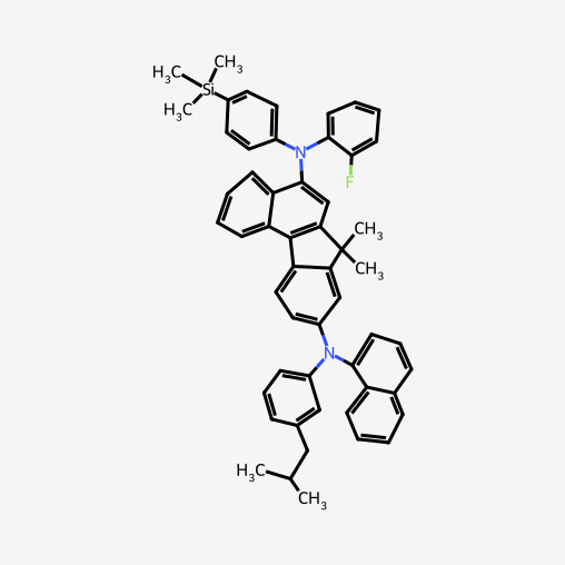 CC(C)Cc1cccc(N(c2ccc3c(c2)C(C)(C)c2cc(N(c4ccc([Si](C)(C)C)cc4)c4ccccc4F)c4ccccc4c2-3)c2cccc3ccccc23)c1